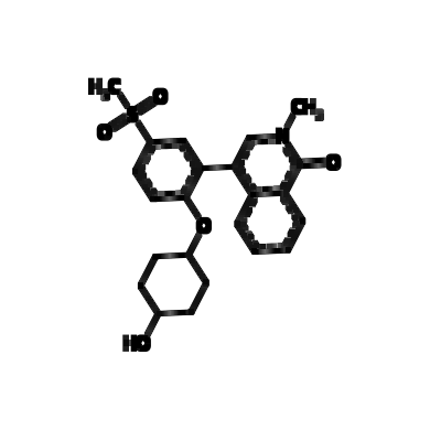 Cn1cc(-c2cc(S(C)(=O)=O)ccc2OC2CCC(O)CC2)c2ccccc2c1=O